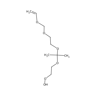 C=COCOCCOC(C)(C)OCCOO